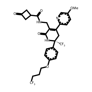 COc1ccc(C2=C(CNC(=O)C3CC(=O)C3)C(=O)N[C@@](c3ccc(OCCCC(F)(F)F)cc3)(C(F)(F)F)C2)nc1